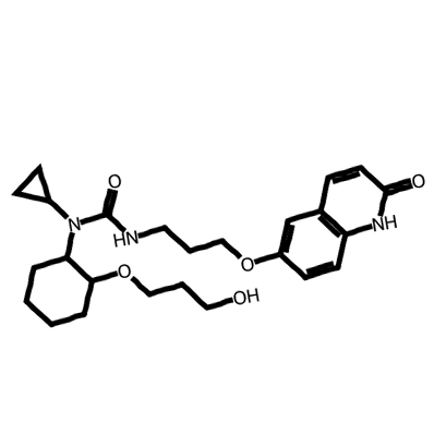 O=C(NCCCOc1ccc2[nH]c(=O)ccc2c1)N(C1CC1)C1CCCCC1OCCCO